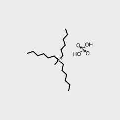 CCCCCC[N+](C)(CCCCCC)CCCCCC.O=S(=O)(O)O